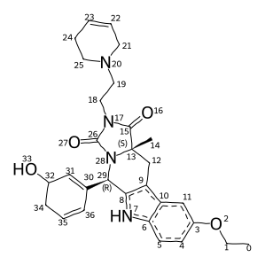 CCOc1ccc2[nH]c3c(c2c1)C[C@@]1(C)C(=O)N(CCN2CC=CCC2)C(=O)N1[C@@H]3C1=CC(O)CC=C1